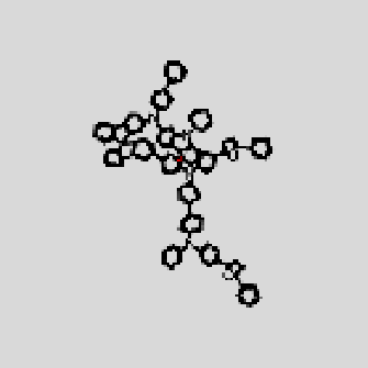 c1ccc(-c2ccc(N(c3ccc4c(c3)C3(c5ccccc5-c5cc(-c6ccc(N(c7ccc(-c8ccc(N(c9ccccc9)c9ccc(-c%10ccc(-c%11ccccc%11)o%10)cc9)cc8)cc7)c7ccc(-c8ccc(-c9ccccc9)o8)cc7)cc6)ccc53)c3ccccc3-4)c3ccc4c5ccccc5n(-c5ccccc5)c4c3)cc2)cc1